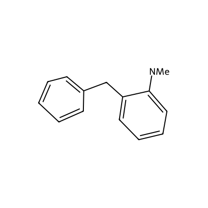 CNc1ccccc1Cc1ccccc1